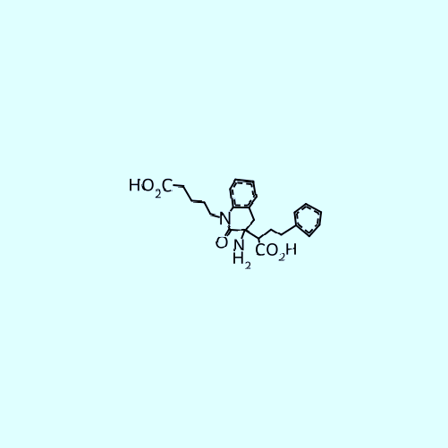 NC1(C(CCc2ccccc2)C(=O)O)Cc2ccccc2N(CCCCC(=O)O)C1=O